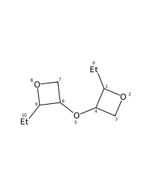 CCC1OCC1OC1COC1CC